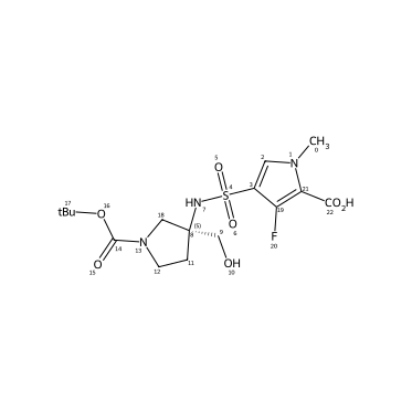 Cn1cc(S(=O)(=O)N[C@@]2(CO)CCN(C(=O)OC(C)(C)C)C2)c(F)c1C(=O)O